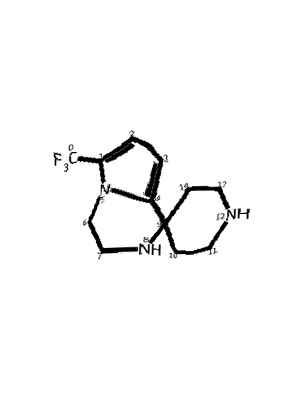 FC(F)(F)c1ccc2n1CCNC21CCNCC1